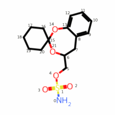 NS(=O)(=O)OCC1Cc2ccccc2OC2(CCCCC2)O1